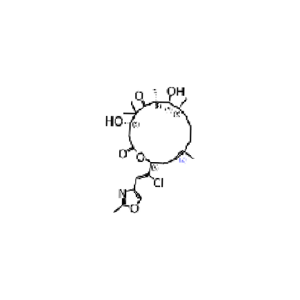 C/C1=C/C[C@@H](C(Cl)=Cc2coc(C)n2)OC(=O)C[C@H](O)C(C)(C)C(=O)[C@H](C)[C@@H](O)[C@@H](C)CCC1